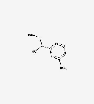 CC(C)(C)[CH]C(O)c1cccc([N+](=O)[O-])c1